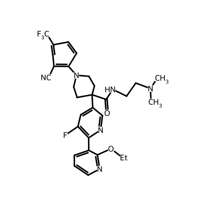 CCOc1ncccc1-c1ncc(C2(C(=O)NCCN(C)C)CCN(c3ccc(C(F)(F)F)cc3C#N)CC2)cc1F